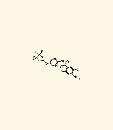 Nc1cc(F)c(S(=O)(=O)Nc2ccc(OCCC3(C(F)(F)F)CC3)cn2)cc1Cl